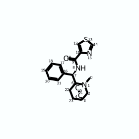 CN1CC2CCC1([C@H](NC(=O)c1cscn1)c1ccccc1)CC2